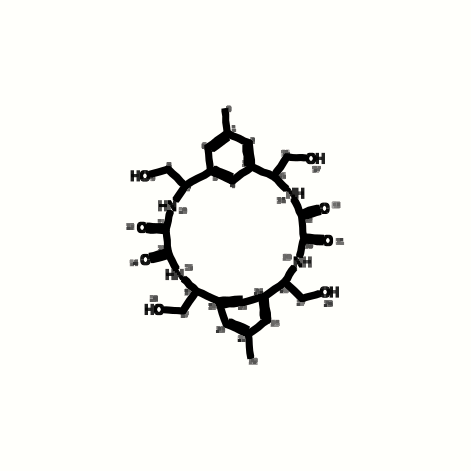 Cc1cc2cc(c1)C(CO)NC(=O)C(=O)NC(CO)c1cc(C)cc(c1)C(CO)NC(=O)C(=O)NC2CO